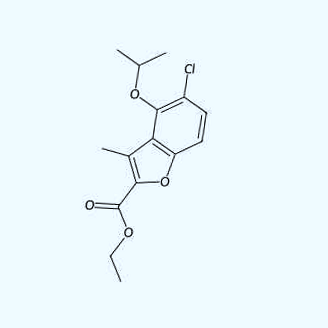 CCOC(=O)c1oc2ccc(Cl)c(OC(C)C)c2c1C